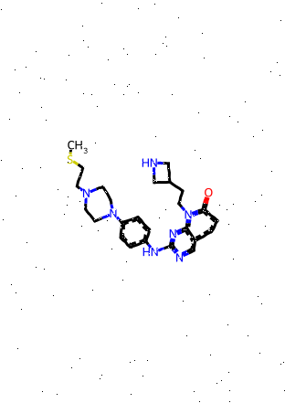 CSCCN1CCN(c2ccc(Nc3ncc4ccc(=O)n(CCC5CNC5)c4n3)cc2)CC1